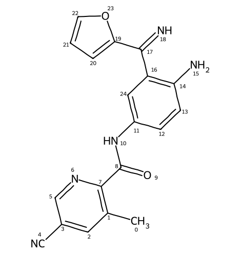 Cc1cc(C#N)cnc1C(=O)Nc1ccc(N)c(C(=N)c2ccco2)c1